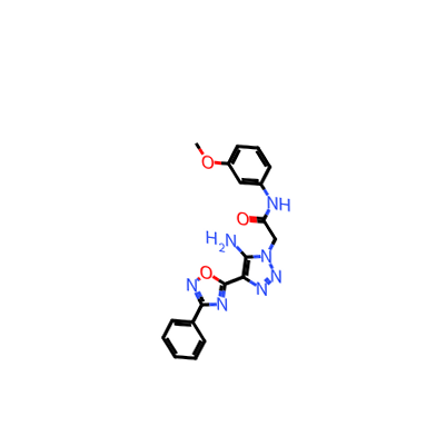 COc1cccc(NC(=O)Cn2nnc(-c3nc(-c4ccccc4)no3)c2N)c1